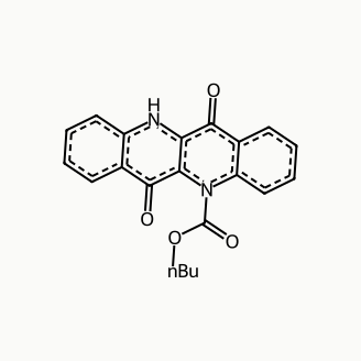 CCCCOC(=O)n1c2ccccc2c(=O)c2[nH]c3ccccc3c(=O)c21